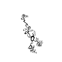 Cc1c(COc2cc(OCc3cncc(S(C)(=O)=O)c3)c(CN[C@](C)(CO)C(=O)O)cc2Cl)cccc1-c1cccc(OCCCN2CC[C@@](CO)(C(=O)O)C2)c1Cl